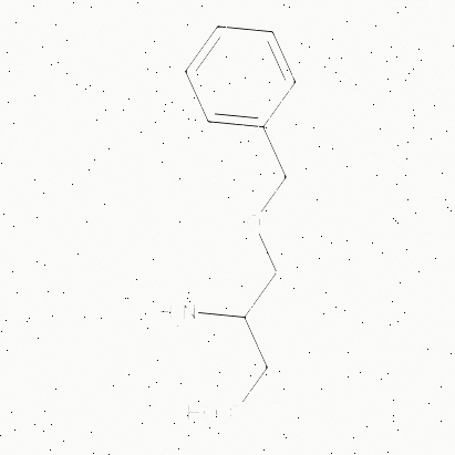 NC(COCc1ccccc1)CC(=O)O